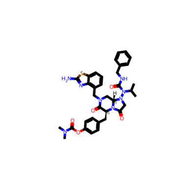 CC(C)N(C(=O)NCc1ccccc1)N1CC(=O)N2[C@@H](Cc3ccc(OC(=O)N(C)C)cc3)C(=O)N(Cc3cccc4sc(N)nc34)C[C@@H]21